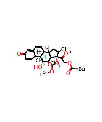 CCCCC(=O)OCC(=O)[C@@]1(OC(=O)OCCC)[C@H](C)C[C@H]2[C@@H]3CCC4=CC(=O)C=C[C@]4(C)[C@@]3(F)[C@@H](O)C[C@@]21C